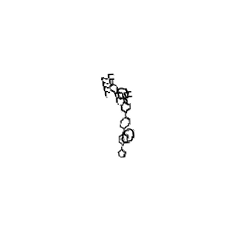 Fc1cc(OC(F)(F)c2ccc(C3CCC(C4CCC(C5CCCC5)CO4)CC3)cc2)cc(F)c1F